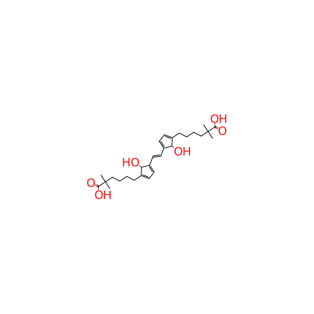 CC(C)(CCCCC1=CC=C(C=CC2=CC=C(CCCCC(C)(C)C(=O)O)C2O)C1O)C(=O)O